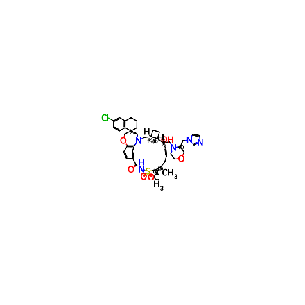 C[C@@H]1[C@@H](C)CC=C[C@@](O)(CN2CCOC[C@@H]2Cn2ccnc2)[C@@H]2CC[C@H]2CN2C[C@@]3(CCCc4cc(Cl)ccc43)COc3ccc(cc32)C(=O)NS1(=O)=O